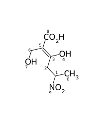 CC(CC(O)=C(CO)C(=O)O)[N+](=O)[O-]